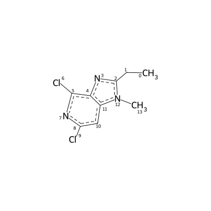 CCc1nc2c(Cl)nc(Cl)cc2n1C